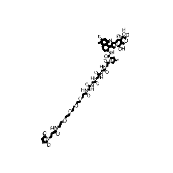 CC[C@]1(O)C(=O)OCC2=C1C=C1c3nc4cc(F)c(C)c5c4c(c3CN1C2O)[C@H](NC(=O)[C@@H]1C[C@@H](F)CN1C(=O)CNC(=O)CNC(=O)CNC(=O)CNC(=O)CNC(=O)CCOCCOCCOCCOCCNC(=O)CCN1C(=O)C=CC1=O)CC5